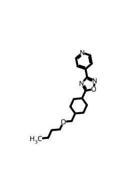 CCCCOCC1CCC(c2nc(-c3ccncc3)no2)CC1